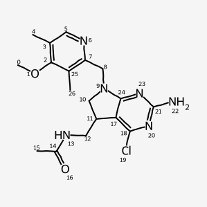 COc1c(C)cnc(CN2CC(CNC(C)=O)c3c(Cl)nc(N)nc32)c1C